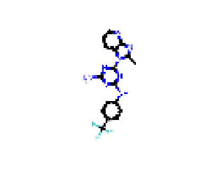 Cc1nc2ncccc2n1-c1nc(N)nc(Nc2ccc(C(F)(F)F)cc2)n1